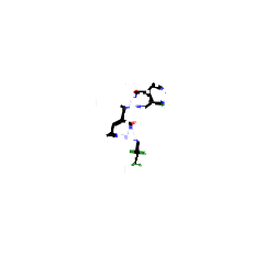 C=C(C)/C=C(\C(O)NCC(F)(F)C(F)F)C(C)N1Cc2c(ccnc2Cl)C1=O